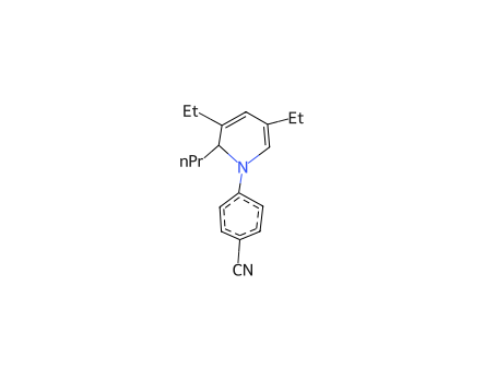 CCCC1C(CC)=CC(CC)=CN1c1ccc(C#N)cc1